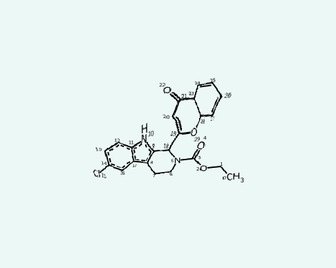 CCOC(=O)N1CCc2c([nH]c3ccc(Cl)cc23)C1C1=CC(=O)C2C=CC=CC2O1